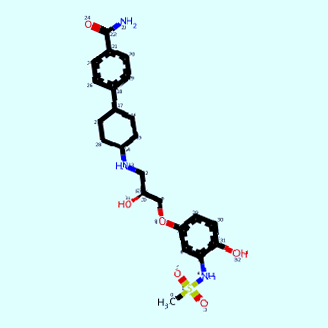 CS(=O)(=O)Nc1cc(OC[C@@H](O)CNC2CCC(c3ccc(C(N)=O)cc3)CC2)ccc1O